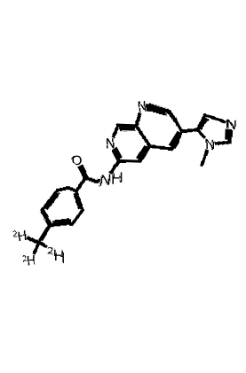 [2H]C([2H])([2H])c1ccc(C(=O)Nc2cc3cc(-c4cncn4C)cnc3cn2)cc1